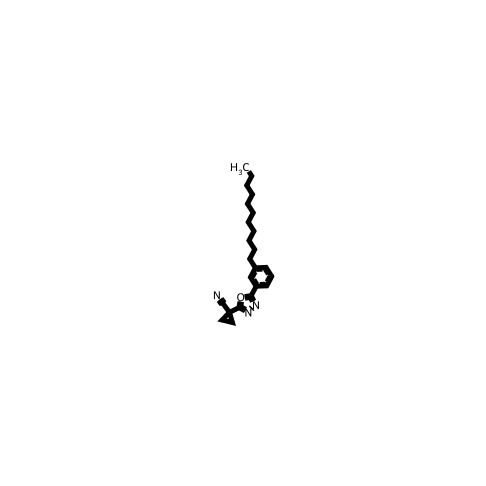 CCCCCCCCCCCc1cccc(-c2nnc(C3(C#N)CC3)o2)c1